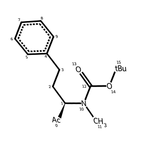 CC(=O)[C@@H](CCc1ccccc1)N(C)C(=O)OC(C)(C)C